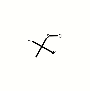 CCC(C)(SCl)C(C)C